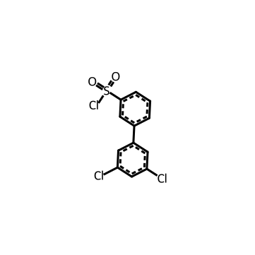 O=S(=O)(Cl)c1cccc(-c2cc(Cl)cc(Cl)c2)c1